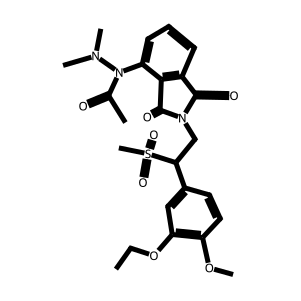 CCOc1cc(C(CN2C(=O)c3cccc(N(C(C)=O)N(C)C)c3C2=O)S(C)(=O)=O)ccc1OC